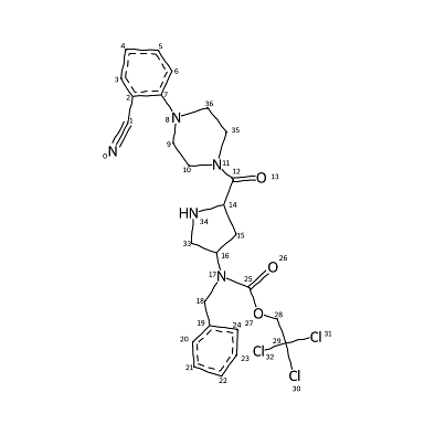 N#Cc1ccccc1N1CCN(C(=O)C2CC(N(Cc3ccccc3)C(=O)OCC(Cl)(Cl)Cl)CN2)CC1